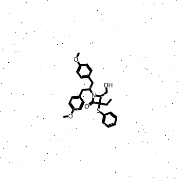 CCC1(Sc2ccccc2)C(=O)N(C(Cc2ccc(OC)cc2)Cc2ccc(OC)cc2)C1CO